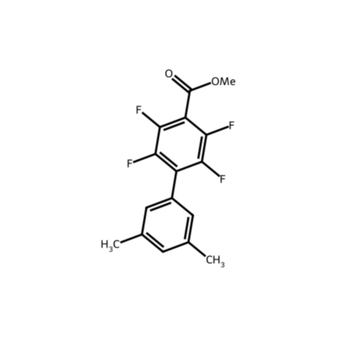 COC(=O)c1c(F)c(F)c(-c2cc(C)cc(C)c2)c(F)c1F